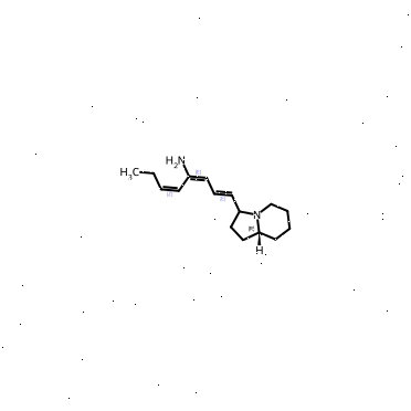 CC\C=C/C(N)=C\C=C\C1CC[C@H]2CCCCN12